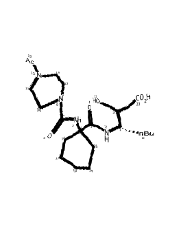 CCCC[C@H](NC(=O)C1(NC(=O)N2CCN(C(C)=O)CC2)CCCCC1)C(O)C(=O)O